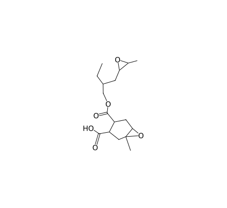 CCC(COC(=O)C1CC2OC2(C)CC1C(=O)O)CC1OC1C